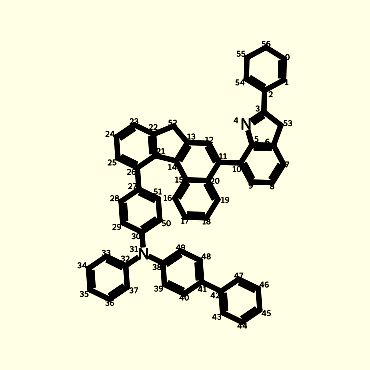 C1=CC(C2=Nc3c(cccc3-c3cc4c(c5ccccc35)-c3c(cccc3-c3ccc(N(c5ccccc5)c5ccc(-c6ccccc6)cc5)cc3)C4)C2)=CCC1